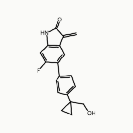 C=C1C(=O)Nc2cc(F)c(-c3ccc(C4(CO)CC4)cc3)cc21